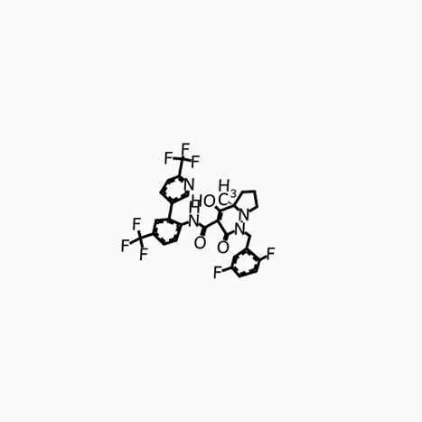 C[C@]12CCCN1N(Cc1cc(F)ccc1F)C(=O)C(C(=O)Nc1ccc(C(F)(F)F)cc1-c1ccc(C(F)(F)F)nc1)=C2O